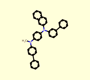 CN(c1ccc(-c2ccccc2)cc1)c1ccc(N(c2cccc(-c3ccccc3)c2)c2ccc3ccccc3c2)cc1